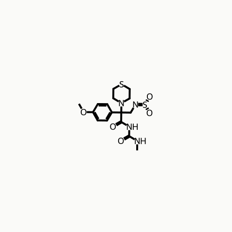 CNC(=O)NC(=O)C(CN=S(=O)=O)(c1ccc(OC)cc1)N1CCSCC1